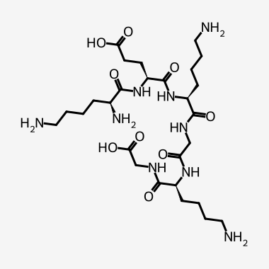 NCCCC[C@H](NC(=O)CNC(=O)[C@H](CCCCN)NC(=O)[C@H](CCC(=O)O)NC(=O)[C@@H](N)CCCCN)C(=O)NCC(=O)O